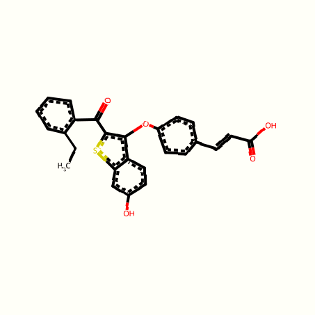 CCc1ccccc1C(=O)c1sc2cc(O)ccc2c1Oc1ccc(/C=C/C(=O)O)cc1